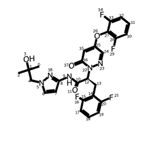 CC(C)(O)Cn1ccc(NC(=O)[C@H](Cc2c(F)cccc2F)n2ncc(Oc3c(F)cccc3F)cc2=O)n1